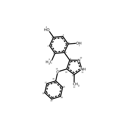 Cc1cc(O)cc(O)c1-c1n[nH]c(C)c1Oc1ccccc1